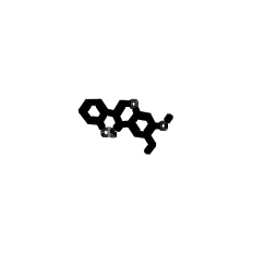 CCc1cc2c(=S)c(-c3ccccc3Cl)coc2cc1OC